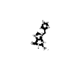 Nc1nc2c(ncn2Cc2cncs2)c(=O)[nH]1